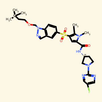 Cc1c(S(=O)(=O)c2ccc3c(cnn3COCC[Si](C)(C)C)c2)cc(C(=O)N[C@@H]2CCN(c3ncc(F)cn3)C2)n1C